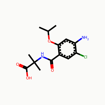 CC(C)Oc1cc(N)c(Cl)cc1C(=O)NC(C)(C)C(=O)O